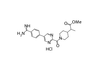 COC(=O)C(C)C1CCN(C(=O)c2ncc(-c3ccc(C(=N)N)cc3)cn2)CC1.Cl